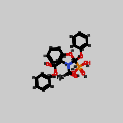 O=C(CN(C(=O)C(F)(F)F)C(Oc1ccccc1)(Oc1ccccc1)P(=O)(O)O)Oc1ccccc1